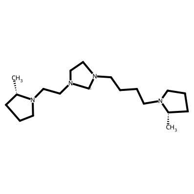 C[C@H]1CCCN1CCCCN1[C]N(CCN2CCC[C@@H]2C)CC1